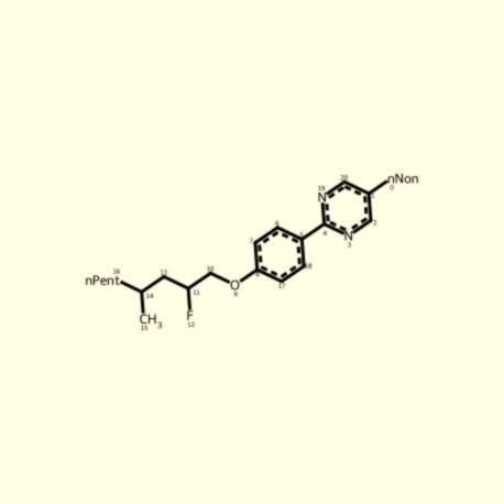 CCCCCCCCCc1cnc(-c2ccc(OCC(F)CC(C)CCCCC)cc2)nc1